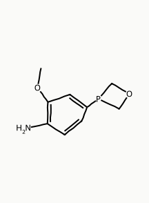 COc1cc(P2COC2)ccc1N